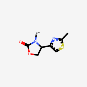 Cc1nc(C2COC(=O)N2C(C)C)cs1